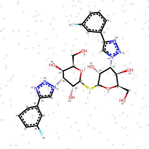 OC[C@H]1O[C@@H](S[C@@H]2O[C@H](CO)[C@H](O)[C@@H](n3cc(-c4cccc(F)c4)nn3)[C@H]2O)[C@H](O)[C@H](n2cc(-c3cccc(F)c3)nn2)[C@H]1O